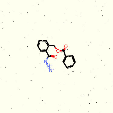 [N-]=[N+]=NC(=O)c1ccccc1COC(=O)c1ccccc1